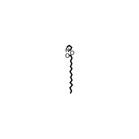 CCCCCCCCCCCCCCC(=O)OC1CCC[N]1